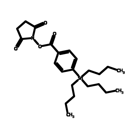 CCC[CH2][Sn]([CH2]CCC)([CH2]CCC)[c]1ccc(C(=O)ON2C(=O)CCC2=O)cc1